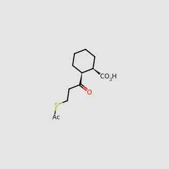 CC(=O)SCCC(=O)[C@H]1CCCC[C@H]1C(=O)O